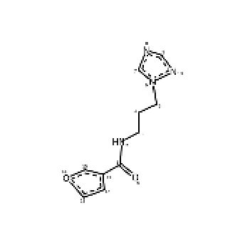 O=C(NCCCn1cncn1)c1ccoc1